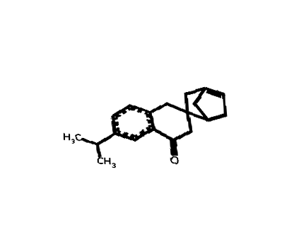 CC(C)c1ccc2c(c1)C(=O)CC1(CC3=CCC1C3)C2